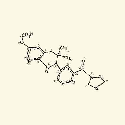 CC1(C)Cc2cc(OC(=O)O)ccc2NC1c1cccc(C(=O)N2CCCC2)c1